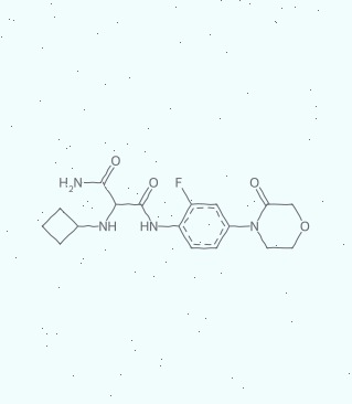 NC(=O)C(NC1CCC1)C(=O)Nc1ccc(N2CCOCC2=O)cc1F